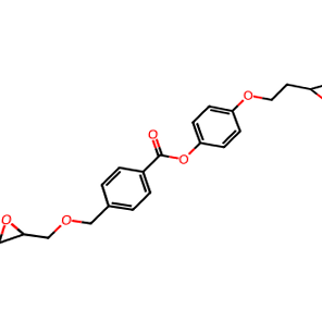 O=C(Oc1ccc(OCCC2CO2)cc1)c1ccc(COCC2CO2)cc1